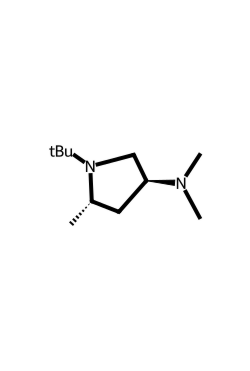 C[C@H]1C[C@H](N(C)C)CN1C(C)(C)C